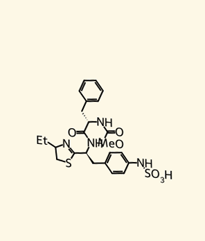 CCC1CSC([C@H](Cc2ccc(NS(=O)(=O)O)cc2)NC(=O)[C@H](Cc2ccccc2)NC(=O)OC)=N1